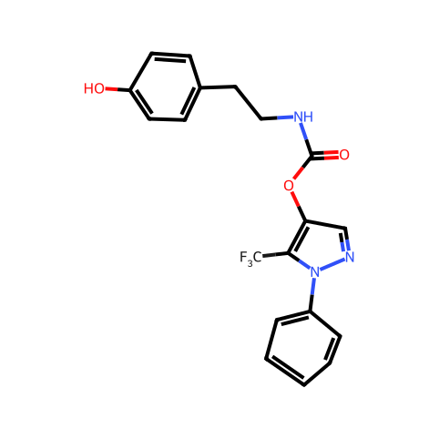 O=C(NCCc1ccc(O)cc1)Oc1cnn(-c2ccccc2)c1C(F)(F)F